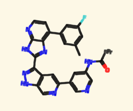 CCCC(=O)Nc1cncc(-c2cc3c(-c4nc5c(-c6cc(C)cc(F)c6)ccnc5[nH]4)n[nH]c3cn2)c1